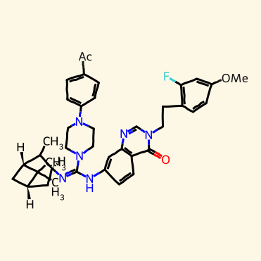 COc1ccc(CCn2cnc3cc(N/C(=N/[C@H]4C[C@@H]5C[C@H](C4C)C5(C)C)N4CCN(c5ccc(C(C)=O)cc5)CC4)ccc3c2=O)c(F)c1